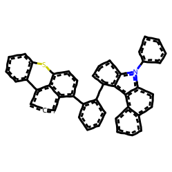 c1ccc(-n2c3cccc(-c4ccccc4-c4ccc5c6c(cccc46)-c4ccccc4S5)c3c3c4ccccc4ccc32)cc1